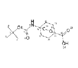 CC(C)(C)OC(=O)NC12CCC(C(=O)O)(CC1)OC2